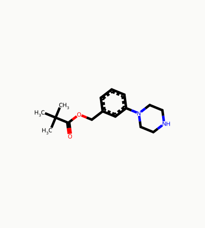 CC(C)(C)C(=O)OCc1cccc(N2CCNCC2)c1